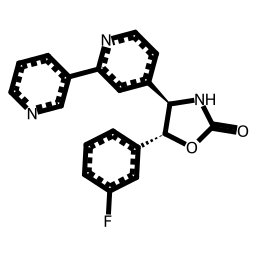 O=C1N[C@H](c2ccnc(-c3cccnc3)c2)[C@@H](c2cccc(F)c2)O1